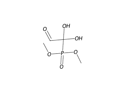 COP(=O)(OC)C(O)(O)C=O